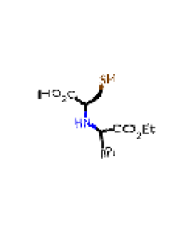 CCCC(NC(CS)C(=O)O)C(=O)OCC